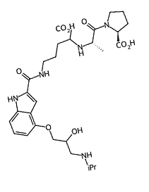 CC(C)NCC(O)COc1cccc2[nH]c(C(=O)NCCCC(N[C@@H](C)C(=O)N3CCC[C@H]3C(=O)O)C(=O)O)cc12